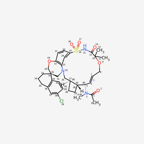 CC(=O)N(C)[C@H]1/C=C/COC(C)(C)C(=O)NS(=O)(=O)c2ccc3c(c2)N(C[C@@H]2CC[C@H]21)C[C@@]1(CCCc2cc(Cl)ccc21)CO3